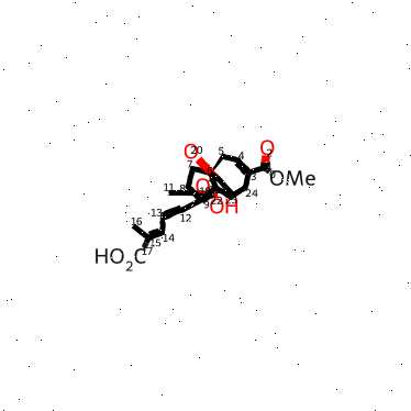 COC(=O)C1=CC[C@@]23CCC(C(C)(/C=C/C=C(\C)C(=O)O)OC2=O)[C@@]3(O)CC1